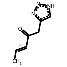 C/C=C/C(=O)Cc1c[nH]nn1